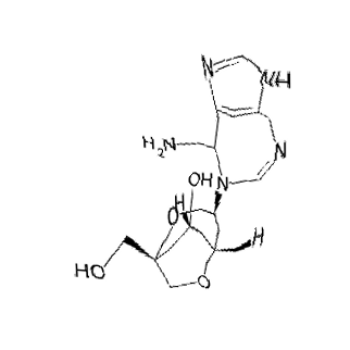 NC1c2nc[nH]c2N=CN1[C@@H]1O[C@@]2(CO)CO[C@@H]1[C@H]2O